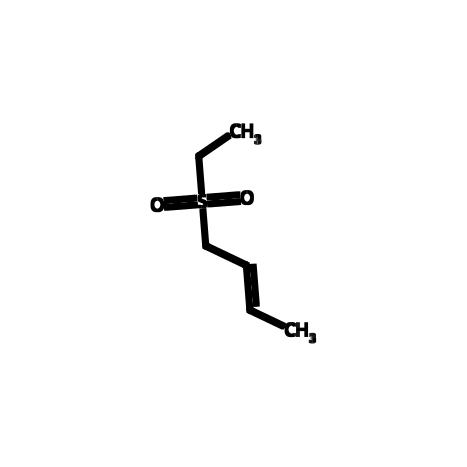 CC=CCS(=O)(=O)CC